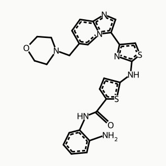 Nc1ccccc1NC(=O)c1ccc(Nc2nc(-c3cnc4ccc(CN5CCOCC5)cn34)cs2)s1